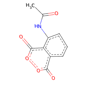 CC(=O)Nc1cccc2c(=O)ooc(=O)c12